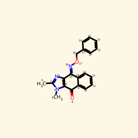 Cc1nc2c(n1C)C(=O)c1ccccc1C2=NOCc1ccccc1